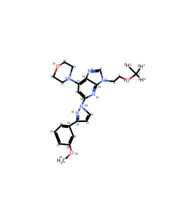 [2H]C([2H])([2H])OCCn1cnc2c(N3CCOCC3)cc(-n3ccc(-c4cccc(OC)c4)n3)nc21